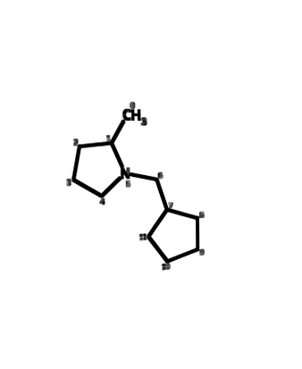 CC1CCCN1CC1CCCC1